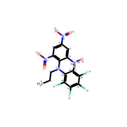 CCCN(c1c([N+](=O)[O-])cc([N+](=O)[O-])cc1[N+](=O)[O-])c1c(F)c(F)c(F)c(F)c1F